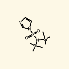 C[Si](C)(C)N([Si](C)(C)C)S(=O)(=O)n1ccnc1